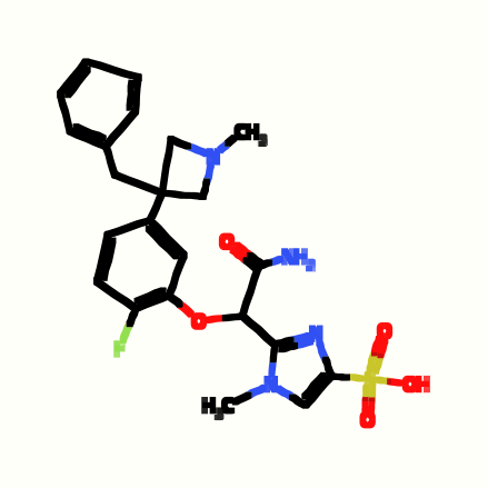 CN1CC(Cc2ccccc2)(c2ccc(F)c(OC(C(N)=O)c3nc(S(=O)(=O)O)cn3C)c2)C1